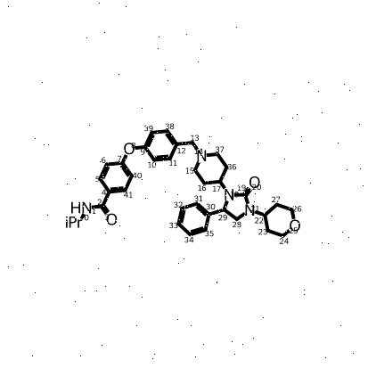 CC(C)NC(=O)c1ccc(Oc2ccc(CN3CCC(N4C(=O)N(C5CCOCC5)CC4c4ccccc4)CC3)cc2)cc1